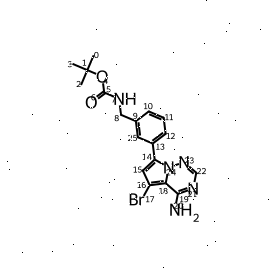 CC(C)(C)OC(=O)NCc1cccc(-c2cc(Br)c3c(N)ncnn23)c1